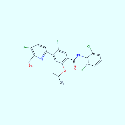 CC(Oc1cc(-c2ccc(F)c(CO)n2)c(F)cc1C(=O)Nc1c(F)cccc1Cl)C(F)(F)F